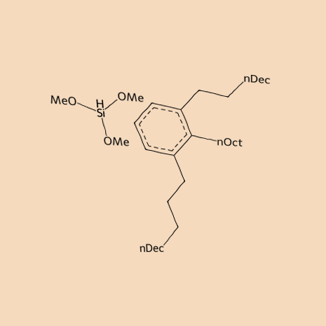 CCCCCCCCCCCCCc1cccc(CCCCCCCCCCCC)c1CCCCCCCC.CO[SiH](OC)OC